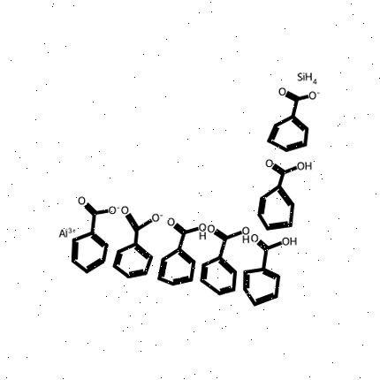 O=C(O)c1ccccc1.O=C(O)c1ccccc1.O=C(O)c1ccccc1.O=C(O)c1ccccc1.O=C([O-])c1ccccc1.O=C([O-])c1ccccc1.O=C([O-])c1ccccc1.[Al+3].[SiH4]